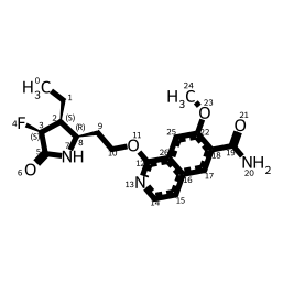 CC[C@@H]1[C@H](F)C(=O)N[C@@H]1CCOc1nccc2cc(C(N)=O)c(OC)cc12